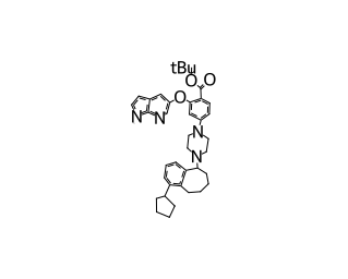 Cn1ccc2cc(Oc3cc(N4CCN(C5CCCCc6c(C7CCCC7)cccc65)CC4)ccc3C(=O)OC(C)(C)C)cnc21